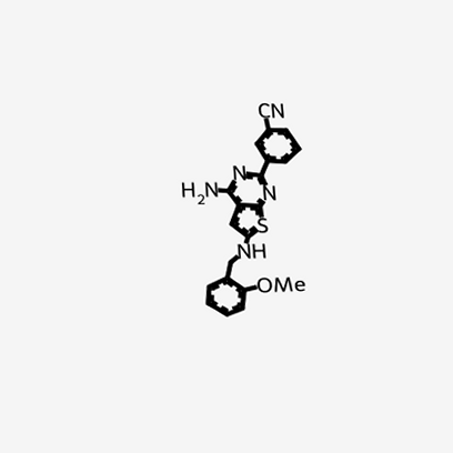 COc1ccccc1CNc1cc2c(N)nc(-c3cccc(C#N)c3)nc2s1